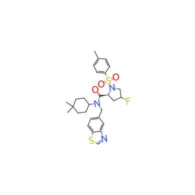 Cc1ccc(S(=O)(=O)N2C[C@@H](F)C[C@H]2C(=O)N(Cc2ccc3scnc3c2)C2CCC(C)(C)CC2)cc1